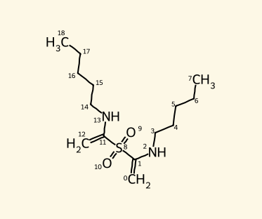 C=C(NCCCCC)S(=O)(=O)C(=C)NCCCCC